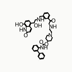 O=C(Nc1ccccc1-c1ccccc1)OC1CCN(CCNCC(=O)c2cccc(CNCC(O)c3ccc(O)c4[nH]c(=O)ccc34)c2)CC1